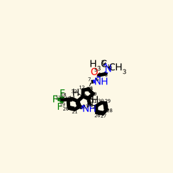 CN(C)CC(=O)NC[C@@H]1C[C@@H]2[C@H](C1)c1cc(C(F)(F)F)ccc1N[C@H]2C1C=CC=CC1